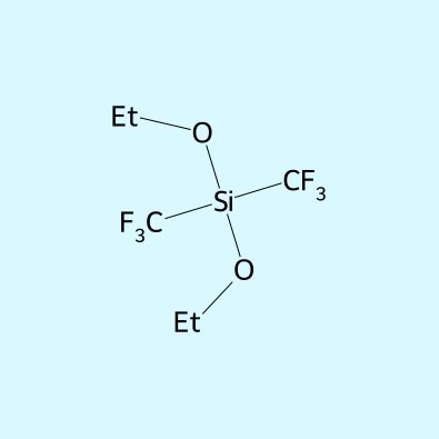 CCO[Si](OCC)(C(F)(F)F)C(F)(F)F